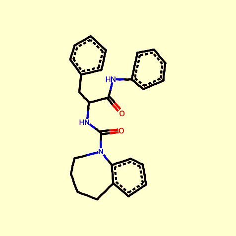 O=C(Nc1ccccc1)C(Cc1ccccc1)NC(=O)N1CCCCc2ccccc21